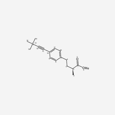 COC(=O)[C@@H](C)CCc1ccc(C#C[Si](C)(C)C)cc1